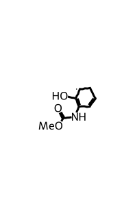 COC(=O)NC1=C(O)[CH]CC=C1